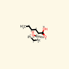 CC(=O)CC(C)C.CCCCCC(=O)O.CCCCCCO